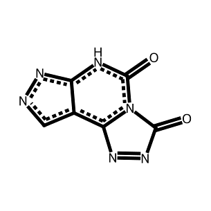 O=C1N=Nc2c3cnnc-3[nH]c(=O)n21